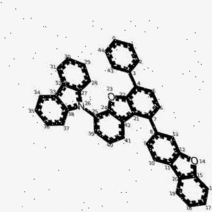 c1ccc(-c2ccc(-c3ccc4c(c3)oc3ccccc34)c3c2oc2c(-n4c5ccccc5c5ccccc54)cccc23)cc1